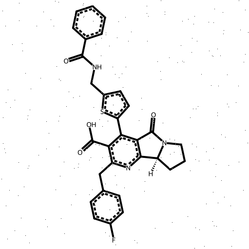 O=C(NCc1ccc(-c2c(C(=O)O)c(Cc3ccc(F)cc3)nc3c2C(=O)N2CCC[C@@H]32)s1)c1ccccc1